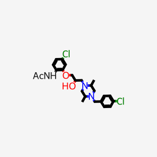 CC(=O)Nc1ccc(Cl)cc1OCC(O)CN1CC(C)N(Cc2ccc(Cl)cc2)CC1C